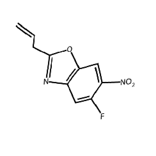 C=CCc1nc2cc(F)c([N+](=O)[O-])cc2o1